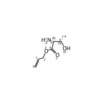 C=CCOC(=O)[C@H](N)[C@H](C)O